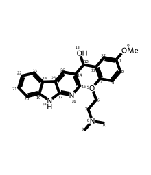 COc1ccc(OCCN(C)C)c(C(O)c2cnc3[nH]c4ccccc4c3c2)c1